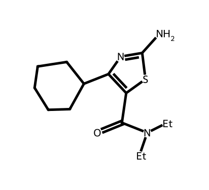 CCN(CC)C(=O)c1sc(N)nc1C1CCCCC1